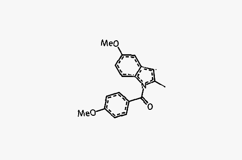 COc1ccc(C(=O)n2c(C)[c]c3cc(OC)ccc32)cc1